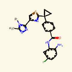 Cc1nnc(-c2csc(C3(c4ccc(C(=O)Nc5cc(F)ccc5N)cc4)CC3)n2)n1C(C)C